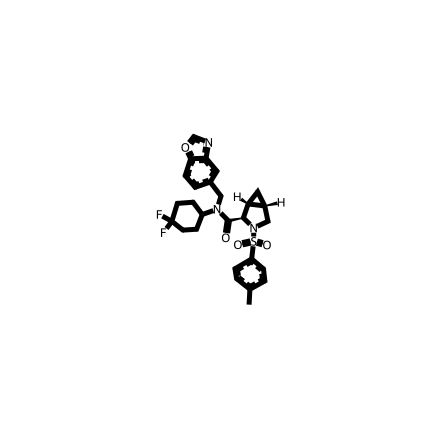 Cc1ccc(S(=O)(=O)N2C[C@H]3C[C@H]3[C@@H]2C(=O)N(Cc2ccc3ocnc3c2)C2CCC(F)(F)CC2)cc1